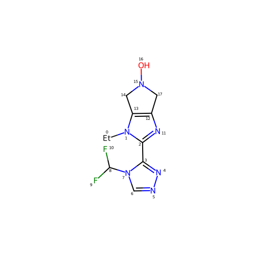 CCn1c(-c2nncn2C(F)F)nc2c1CN(O)C2